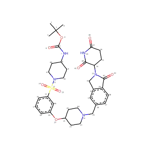 CC(C)(C)OC(=O)NC1CCN(S(=O)(=O)c2cccc(OC3CCN(Cc4ccc5c(c4)CN(C4CCC(=O)NC4=O)C5=O)CC3)c2)CC1